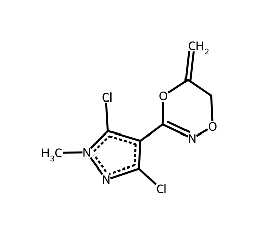 C=C1CON=C(c2c(Cl)nn(C)c2Cl)O1